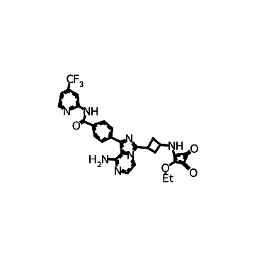 CCOc1c(NC2CC(c3nc(-c4ccc(C(=O)Nc5cc(C(F)(F)F)ccn5)cc4)c4c(N)nccn34)C2)c(=O)c1=O